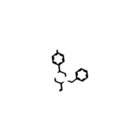 O=CC1COC(c2ccc(F)cc2)CN1Cc1ccccc1